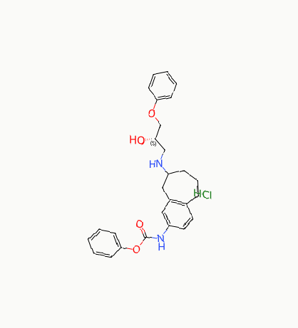 Cl.O=C(Nc1ccc2c(c1)CC(NC[C@H](O)COc1ccccc1)CCC2)Oc1ccccc1